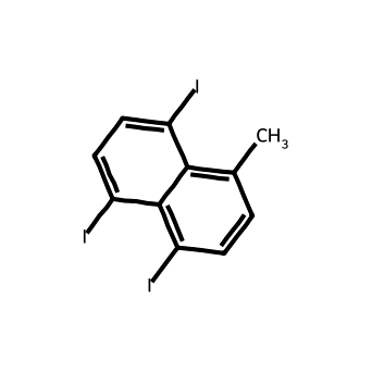 Cc1ccc(I)c2c(I)ccc(I)c12